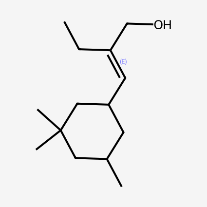 CC/C(=C\C1CC(C)CC(C)(C)C1)CO